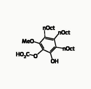 CCCCCCCCc1c(O)c(OC(=O)O)c(OC)c(CCCCCCCC)c1CCCCCCCC